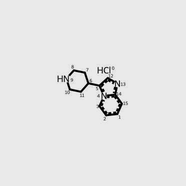 Cl.c1ccn2c(C3CCNCC3)cnc2c1